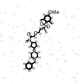 COc1cc(C)c(S(=O)(=O)N(C)CCOCC(=O)N(C)C2CCC(N3CCN(Cc4ccccc4)CC3)C2)c(C)c1